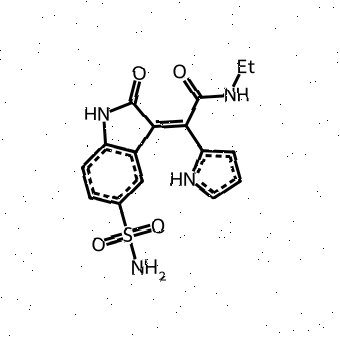 CCNC(=O)C(=C1C(=O)Nc2ccc(S(N)(=O)=O)cc21)c1ccc[nH]1